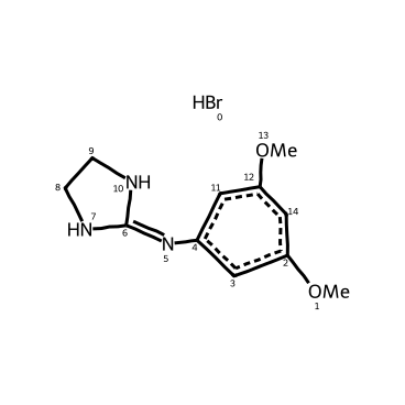 Br.COc1cc(N=C2NCCN2)cc(OC)c1